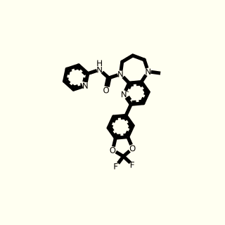 CN1CCCN(C(=O)Nc2ccccn2)c2nc(-c3ccc4c(c3)OC(F)(F)O4)ccc21